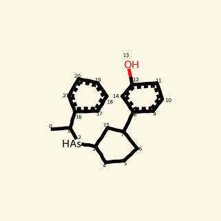 CC([AsH]C1CCCC(c2cccc(O)c2)C1)c1ccccc1